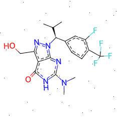 CC(C)[C@@H](c1ccc(C(F)(F)F)c(F)c1)n1nc(CO)c2c(=O)[nH]c(N(C)C)nc21